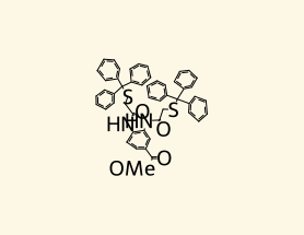 COC(=O)c1ccc(NC(=O)CSC(c2ccccc2)(c2ccccc2)c2ccccc2)c(NC(=O)CSC(c2ccccc2)(c2ccccc2)c2ccccc2)c1